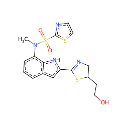 CN(c1cccc2cc(C3=NCC(CCO)S3)[nH]c12)S(=O)(=O)c1nccs1